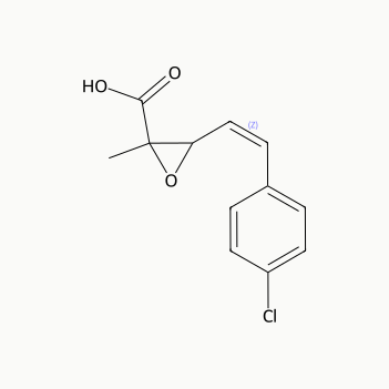 CC1(C(=O)O)OC1/C=C\c1ccc(Cl)cc1